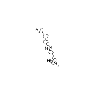 CCCC1CCCCC(C2CC=C(c3cnc(-c4ccc(CCC(=O)NC)cc4)nc3)CCC2)CC1